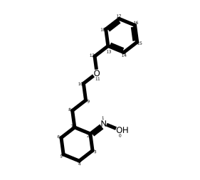 ON=C1CCCCC1CCCOCc1ccccc1